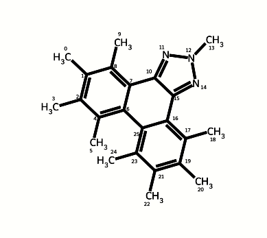 Cc1c(C)c(C)c2c(c1C)c1nn(C)nc1c1c(C)c(C)c(C)c(C)c12